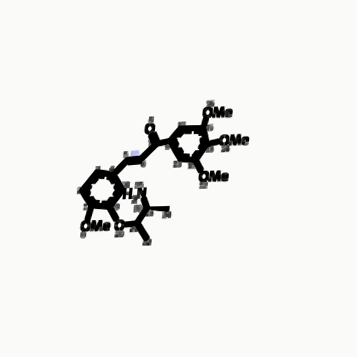 COc1ccc(/C=C/C(=O)c2cc(OC)c(OC)c(OC)c2)cc1OC(C)[C@H](C)N